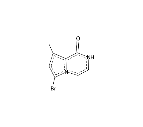 Cc1cc(Br)n2cc[nH]c(=O)c12